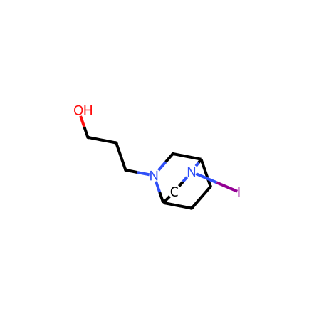 OCCCN1CC2CCC1CN2I